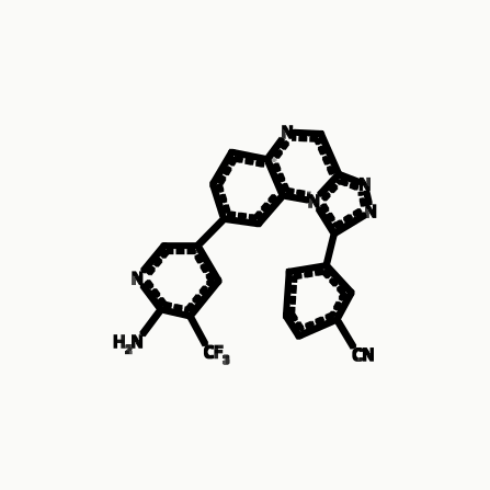 N#Cc1cccc(-c2nnc3cnc4ccc(-c5cnc(N)c(C(F)(F)F)c5)cc4n23)c1